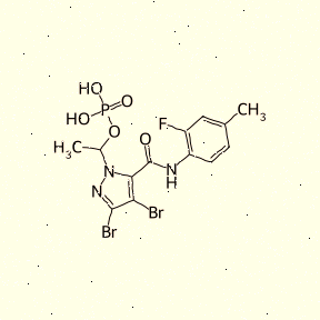 Cc1ccc(NC(=O)c2c(Br)c(Br)nn2C(C)OP(=O)(O)O)c(F)c1